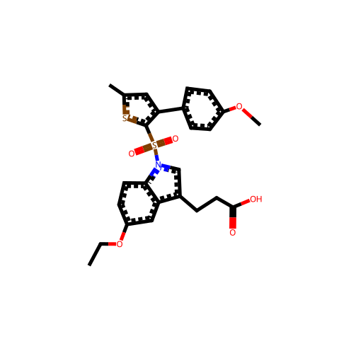 CCOc1ccc2c(c1)c(CCC(=O)O)cn2S(=O)(=O)c1sc(C)cc1-c1ccc(OC)cc1